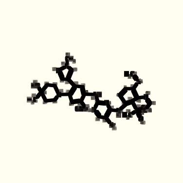 C=Nc1ccc(Nc2nc(Nc3cc(-c4cnn(C)c4)c(N4CCC(C)(O)CC4)cc3OC)ncc2Br)c(P(C)(C)=O)c1/N=C\C